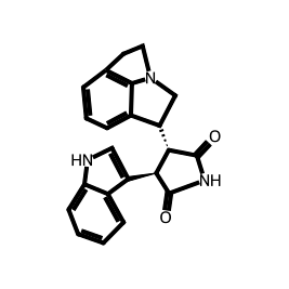 O=C1NC(=O)[C@@H](C2CN3CCc4cccc2c43)[C@@H]1c1c[nH]c2ccccc12